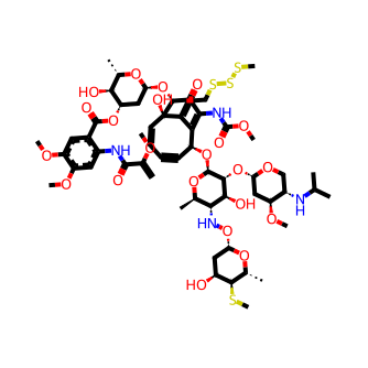 C=C(OC)C(=O)Nc1cc(OC)c(OC)cc1C(=O)O[C@H]1C[C@H](O[C@@H]2C(=O)C(NC(=O)OC)=C3/C(=C\CSSSC)[C@]2(O)/C=C\C#C[C@@H]3O[C@@H]2O[C@H](C)[C@@H](NO[C@H]3C[C@H](O)[C@H](SC)[C@@H](C)O3)[C@H](O)[C@H]2O[C@H]2C[C@H](OC)[C@@H](NC(C)C)CO2)O[C@@H](C)[C@@H]1O